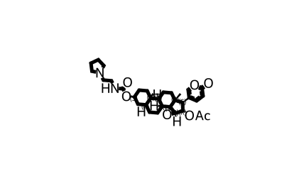 CC(=O)O[C@H]1[C@H]2O[C@]23[C@@H]2CC[C@@H]4C[C@@H](OC(=O)NCCN5CCCC5)CC[C@]4(C)[C@H]2CC[C@]3(C)[C@H]1c1ccc(=O)oc1